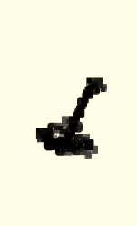 CCn1cnnc1-c1cccc(N2Cc3c(cc(N(C)C(C)C)nc3CNCC(=O)NCCOCCOCCOCC(N)=O)C2O)n1